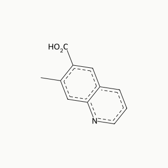 Cc1cc2ncccc2cc1C(=O)O